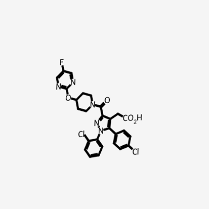 O=C(O)Cc1c(C(=O)N2CCC(Oc3ncc(F)cn3)CC2)nn(-c2ccccc2Cl)c1-c1ccc(Cl)cc1